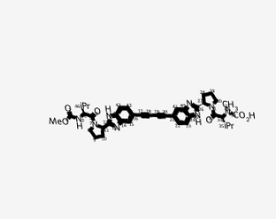 COC(=O)N[C@H](C(=O)N1CCCC1c1nc2cc(C#CC#Cc3ccc4[nH]c([C@@H]5CCCN5C(=O)[C@H](C(C)C)N(C)C(=O)O)nc4c3)ccc2[nH]1)C(C)C